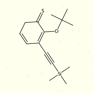 CC(C)(C)OC1=C(C#C[Si](C)(C)C)C=CCC1=S